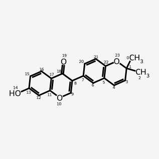 CC1(C)C=Cc2cc(-c3coc4cc(O)ccc4c3=O)ccc2O1